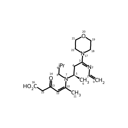 C=C/N=C(\C[C@@H](C)N(CC(C)C)/C(C)=C\C(=O)CC(=O)O)N1CCOCC1